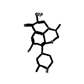 CC1CN(c2c(F)cc3c(=O)c(C(=O)O)cn4c3c2OCC4C)CCN1